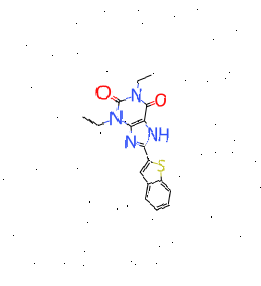 CCn1c(=O)c2[nH]c(-c3cc4ccccc4s3)nc2n(CC)c1=O